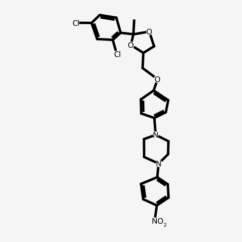 CC1(c2ccc(Cl)cc2Cl)OCC(COc2ccc(N3CCN(c4ccc([N+](=O)[O-])cc4)CC3)cc2)O1